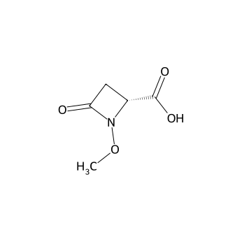 CON1C(=O)C[C@@H]1C(=O)O